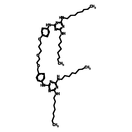 CCCCCCCCNc1nc(NCCCCCCCC)nc(Nc2ccc(COCCOCCCOc3ccc(Nc4nc(NCCCCCCCC)nc(NCCCCCCCC)n4)cc3)cc2)n1